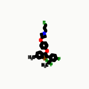 Cc1ccc2c(Oc3ccc(OC4CN(CCCF)C4)cc3)c(-c3ccc(F)cc3C(C)(F)F)sc2c1